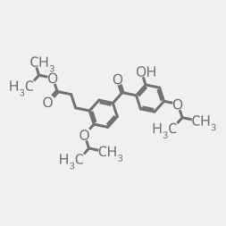 CC(C)OC(=O)CCc1cc(C(=O)c2ccc(OC(C)C)cc2O)ccc1OC(C)C